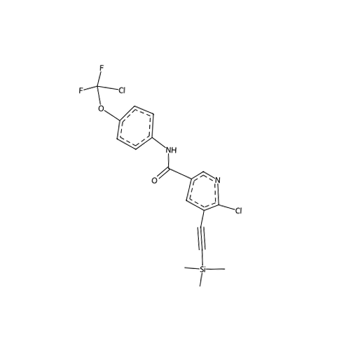 C[Si](C)(C)C#Cc1cc(C(=O)Nc2ccc(OC(F)(F)Cl)cc2)cnc1Cl